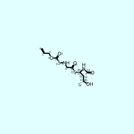 C=CCOC(=O)SNCC(=O)S[C@H]1NC(=O)[C@@H]1[C@@H](C)O